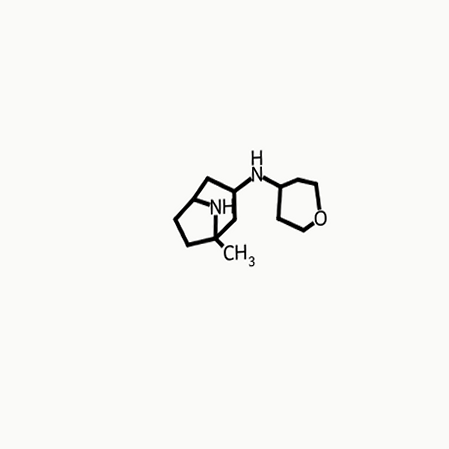 CC12CCC(CC(NC3CCOCC3)C1)N2